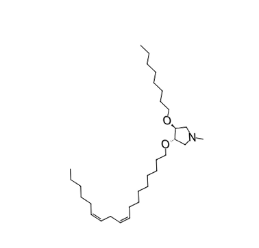 CCCCC/C=C\C/C=C\CCCCCCCCO[C@H]1CN(C)C[C@@H]1OCCCCCCCC